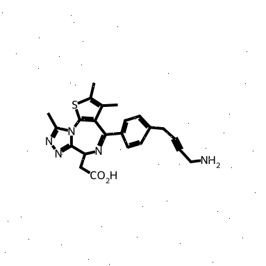 Cc1sc2c(c1C)C(c1ccc(CC#CCN)cc1)=NC(CC(=O)O)c1nnc(C)n1-2